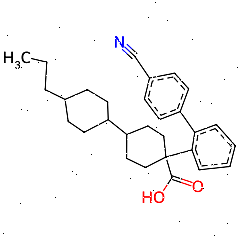 CCCC1CCC(C2CCC(C(=O)O)(c3ccccc3-c3ccc(C#N)cc3)CC2)CC1